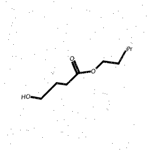 CC(C)CCOC(=O)CCCO